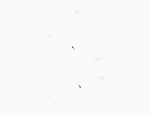 CCCC(=O)OC[C@H](NC(C)=O)[C@H](OC(=O)CCC)OC(CO)[C@@H](C)OC(=O)CCC